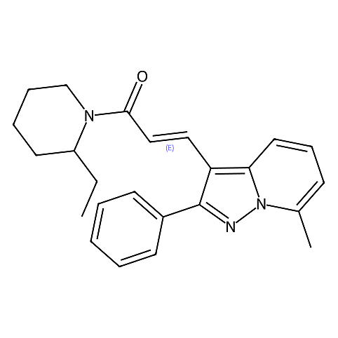 CCC1CCCCN1C(=O)/C=C/c1c(-c2ccccc2)nn2c(C)cccc12